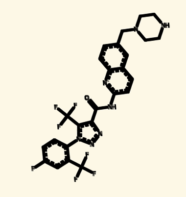 O=C(Nc1ccc2cc(CN3CCNCC3)ccc2n1)c1nnn(-c2ccc(F)cc2C(F)(F)F)c1C(F)(F)F